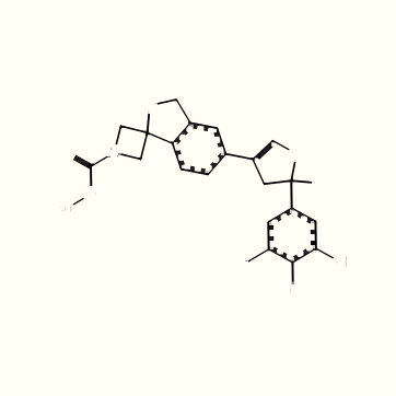 CC(C)(C)OC(=O)N1CC2(C1)OCc1cc(C3=COC(c4cc(Cl)c(F)c(Cl)c4)(C(F)(F)F)C3)ccc12